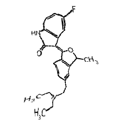 CCN(CC)Cc1ccc2c(c1)C(C)OC2=C1C(=O)Nc2ccc(F)cc21